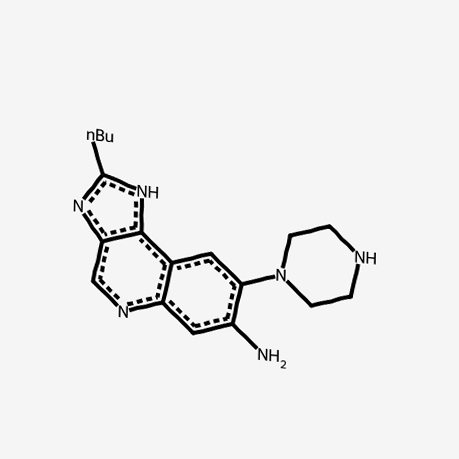 CCCCc1nc2cnc3cc(N)c(N4CCNCC4)cc3c2[nH]1